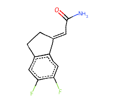 NC(=O)/C=C1\CCc2cc(F)c(F)cc21